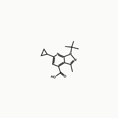 Cc1nn(C(C)(C)C)c2nc(C3CC3)cc(C(=O)O)c12